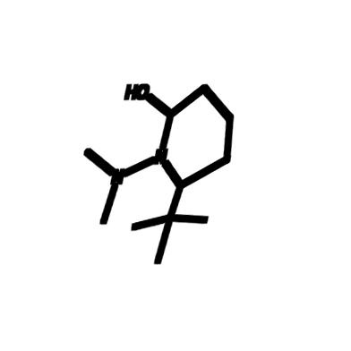 CN(C)N1C(O)CCCC1C(C)(C)C